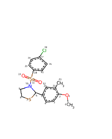 COc1ccc(C2SCCN2S(=O)(=O)c2ccc(Cl)cc2)cc1C